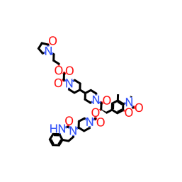 Cc1cc(C[C@@H](OC(=O)N2CCC(N3CCc4ccccc4NC3=O)CC2)C(=O)N2CCC(C3CCN(C(=O)C(=O)OCCCN4CCCC4=O)CC3)CC2)cc2oc(=O)n(C)c12